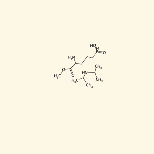 CC(C)NC(C)C.COC(=O)C(N)CCC[PH](=O)O